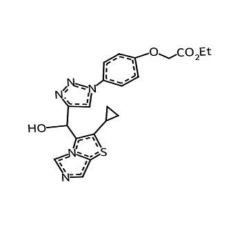 CCOC(=O)COc1ccc(-n2cc(C(O)c3c(C4CC4)sc4cncn34)nn2)cc1